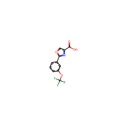 O=C(O)c1coc(-c2cccc(OC(F)(F)F)c2)n1